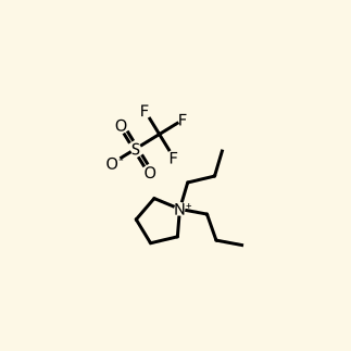 CCC[N+]1(CCC)CCCC1.O=S(=O)([O-])C(F)(F)F